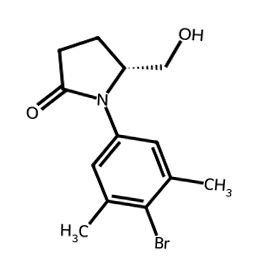 Cc1cc(N2C(=O)CC[C@@H]2CO)cc(C)c1Br